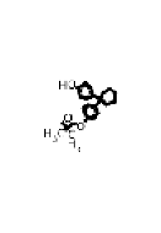 CC1(C)COC1Oc1ccc(C2(c3ccc(O)cc3)CCCCC2)cc1